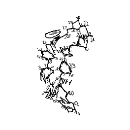 CC(C)N1CC(c2ncc(-c3ccc(CNC(=O)CCC4CCC(CC(C)N5CC(c6ncc(-c7ccc(CNC(=O)CN8CCOCC8)cc7)s6)C5)C4)cc3)s2)C1